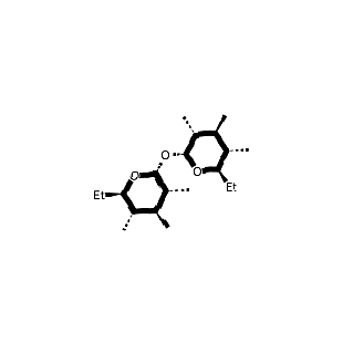 CC[C@H]1O[C@H](O[C@H]2O[C@H](CC)[C@@H](C)[C@H](C)[C@H]2C)[C@H](C)[C@@H](C)[C@@H]1C